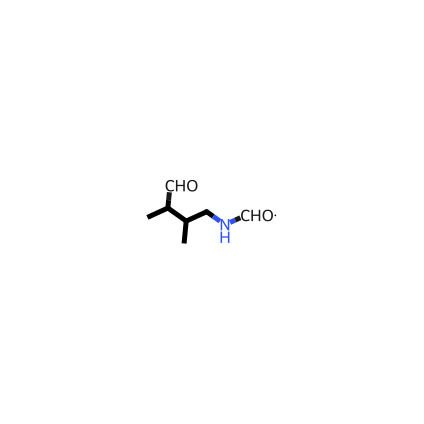 CC(C=O)C(C)CN[C]=O